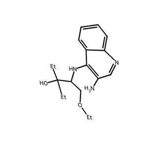 CCOCC(Nc1c(N)cnc2ccccc12)C(O)(CC)CC